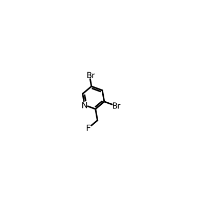 FCc1ncc(Br)cc1Br